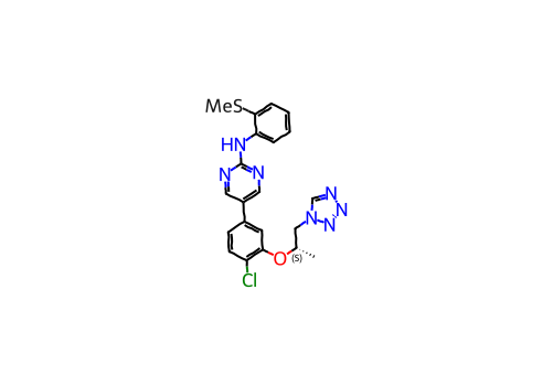 CSc1ccccc1Nc1ncc(-c2ccc(Cl)c(O[C@@H](C)Cn3cnnn3)c2)cn1